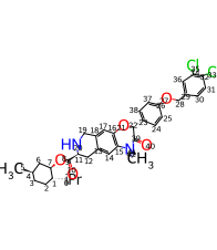 CC(C)[C@@H]1CC[C@@H](C)C[C@H]1OC(=O)[C@@H]1Cc2cc3c(cc2CN1)O[C@H](c1ccc(OCc2ccc(Cl)c(Cl)c2)cc1)C(=O)N3C